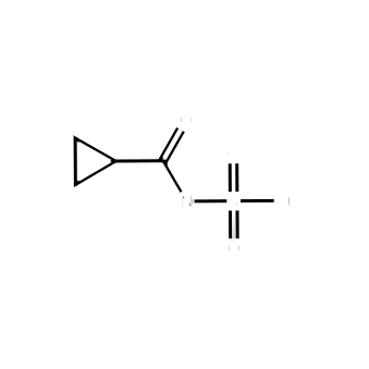 CCS(=O)(=O)[N]C(=O)C1CC1